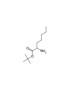 CCCCCC(N)C(=O)OC(C)(C)C